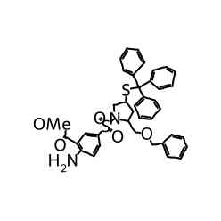 COC(=O)c1cc(S(=O)(=O)N2CC(SC(c3ccccc3)(c3ccccc3)c3ccccc3)CC2COCc2ccccc2)ccc1N